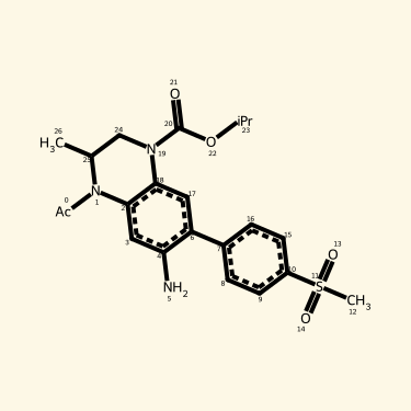 CC(=O)N1c2cc(N)c(-c3ccc(S(C)(=O)=O)cc3)cc2N(C(=O)OC(C)C)CC1C